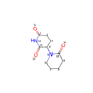 O=C1CCC(N2CCCCC2=O)C(=O)N1